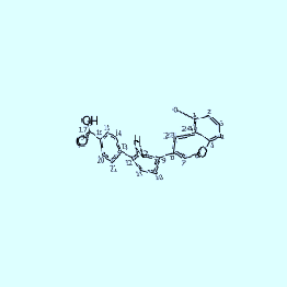 CC1C=CC=C2OC=C(c3ccc(-c4ccc(C(=O)O)cc4)[nH]3)C=C21